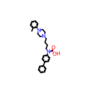 Cc1ccccc1N1CCN(CCCCN(C(=O)O)c2ccc(-c3ccccc3)cc2)CC1